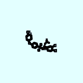 CN(C)C[C@@H](NS(=O)(=O)c1ccc(Oc2ccc(C(F)(F)F)cc2)cc1)c1ccc(Cl)c(Cl)c1